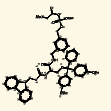 CCC(COC)OP(=O)(OC)OCc1cccc(CNC(=O)C(COC(c2ccccc2)(c2ccc(OC)cc2)c2ccc(OC)cc2)NC(=O)OCC2c3ccccc3-c3ccccc32)c1